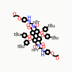 CCCC(C(=O)Nc1ccc(OCC2CO2)cc1)N1C(=O)c2cc(Oc3ccc(C(C)(C)C)cc3)c3c4c(Oc5ccc(C(C)(C)C)cc5)cc5c6c(cc(Oc7ccc(C(C)(C)C)cc7)c(c7c(Oc8ccc(C(C)(C)C)cc8)cc(c2c37)C1=O)c64)C(=O)N(C(CCC)C(=O)Nc1ccc(OCC2CO2)cc1)C5=O